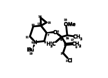 C=C(CCl)C(C)(O[C@H]1CN([C@@H](C)CC)CCC12CC2)C(C)OC